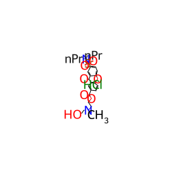 CCCN(CCC)S(=O)(=O)c1ccc2oc3ccc(C(=O)OCCN(C)CCO)cc3c(=O)c2c1.Cl